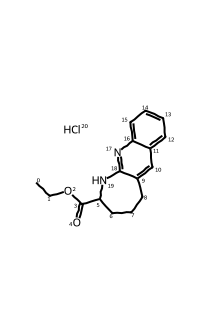 CCOC(=O)C1CCCc2cc3ccccc3nc2N1.Cl